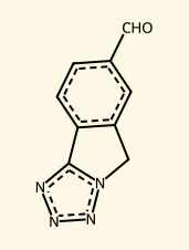 O=Cc1ccc2c(c1)Cn1nnnc1-2